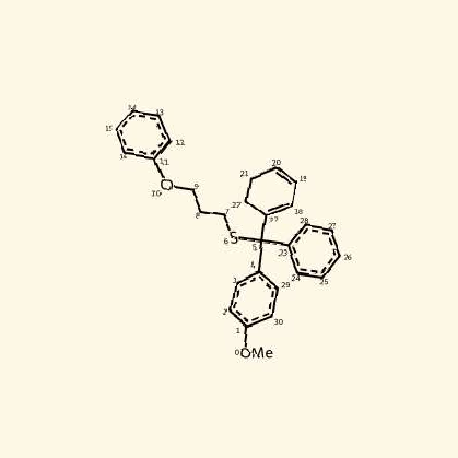 COc1ccc(C(SCCCOc2ccccc2)(C2=CC=CCC2)c2ccccc2)cc1